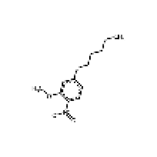 COc1cc(OCCCSC)ccc1[N+](=O)[O-]